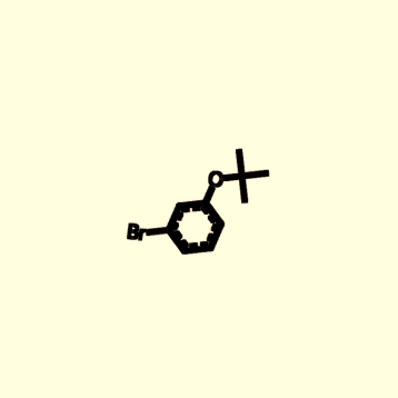 CC(C)(C)Oc1cccc(Br)c1